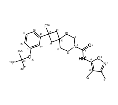 Cc1noc(NC(=O)N2CCC3(CC2)CC(F)(c2cccc(OC(F)(F)F)c2)C3)c1C